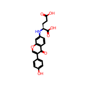 O=C(O)CC[C@H](Nc1ccc2c(=O)c(-c3ccc(O)cc3)coc2c1)C(=O)O